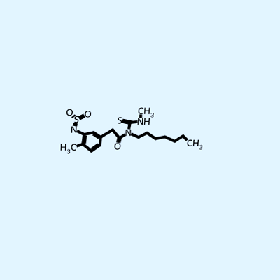 CCCCCCCN(C(=O)Cc1ccc(C)c(N=S(=O)=O)c1)C(=S)NC